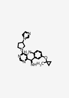 CC1(Oc2ccc(N)c(C(=N)c3cc(N4CCC(n5ccnc5)C4)ncn3)c2)CC1